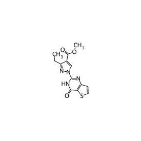 CCc1nn(-c2nc3ccsc3c(=O)[nH]2)cc1C(=O)OC